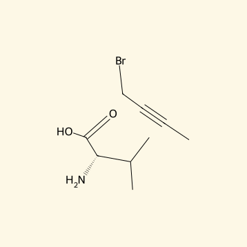 CC#CCBr.CC(C)[C@H](N)C(=O)O